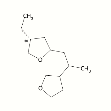 CC[C@H]1COC(CC(C)C2CCOC2)C1